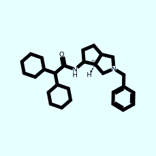 O=C(NC1CCC2CN(Cc3ccccc3)C[C@H]21)C(C1CCCCC1)C1CCCCC1